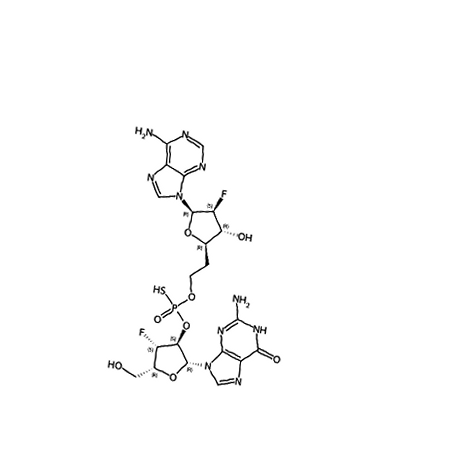 Nc1nc2c(ncn2[C@@H]2O[C@H](CO)[C@H](F)[C@H]2OP(=O)(S)OCC[C@H]2O[C@@H](n3cnc4c(N)ncnc43)[C@@H](F)[C@@H]2O)c(=O)[nH]1